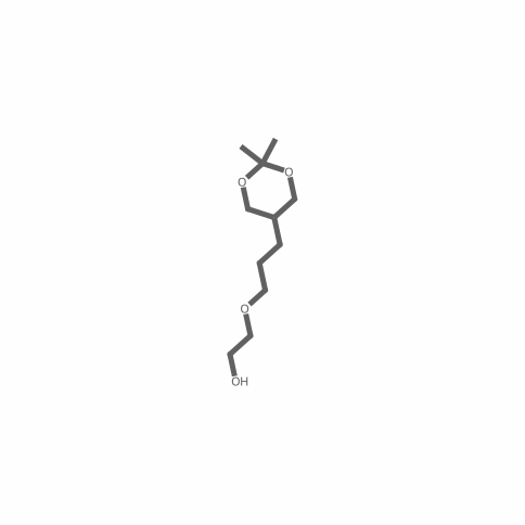 CC1(C)OCC(CCCOCCO)CO1